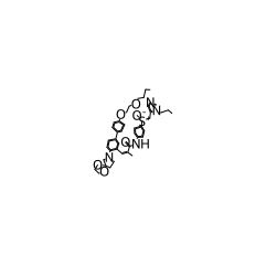 CCCCOCCOc1ccc(-c2ccc(N3CCC4(C3)OCCO4)c(C=C(C)C(=O)Nc3ccc([S+]([O-])Cc4cncn4CCC)cc3)c2)cc1